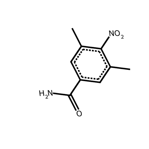 Cc1cc(C(N)=O)cc(C)c1[N+](=O)[O-]